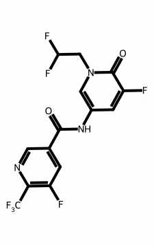 O=C(Nc1cc(F)c(=O)n(CC(F)F)c1)c1cnc(C(F)(F)F)c(F)c1